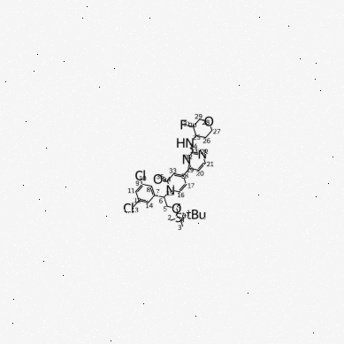 CC(C)(C)[Si](C)(C)OCC(c1cc(Cl)cc(Cl)c1)n1ccc(-c2ccnc(NC3CCOCC3F)n2)cc1=O